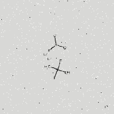 CC(O)(F)F.[Li+].[Li+].[O-]B([O-])F